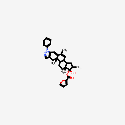 CC1=CC2C(CCC3(C)C2CC(C)C3(O)OC(=O)c2ccco2)C2(C)Cc3cnn(-c4ccccc4)c3C=C12